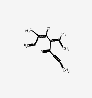 C=C/C(C)=C(/Cl)C(C(=O)C#CC)=C(C)C